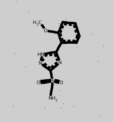 COc1ccccc1-c1nc(S(N)(=O)=O)n[nH]1